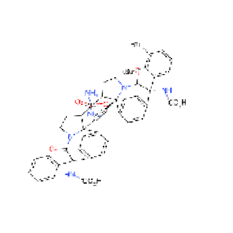 CC(C)(C)c1cccc([C@]2(NC(=O)O)C(=O)N3CCC(C(N)=O)[C@@]3(C#CC34c5ccc(cc5)C(NC(=O)O)(c5ccccc5)C(=O)N3CCC4C(N)=O)c3ccc2cc3)c1C(C)(C)C